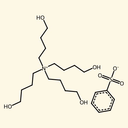 O=S(=O)([O-])c1ccccc1.OCCCC[N+](CCCCO)(CCCCO)CCCCO